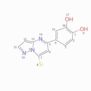 Oc1ccc(-c2cc([S])n3nccc3n2)cc1O